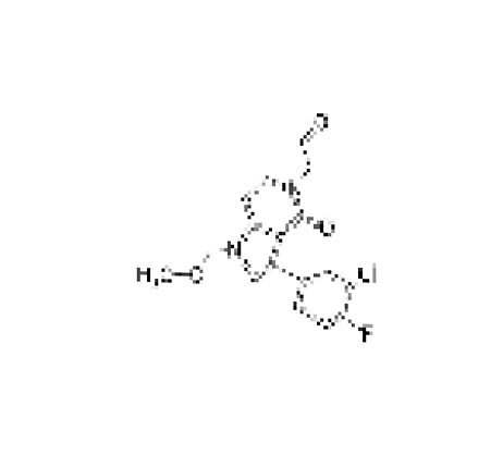 COCn1cc(-c2ccc(F)c(Cl)c2)c2c(=O)n(CC=O)ccc21